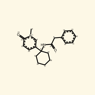 Cn1cc(C2(NC(=O)Cc3ccccc3)CCCCC2)ccc1=O